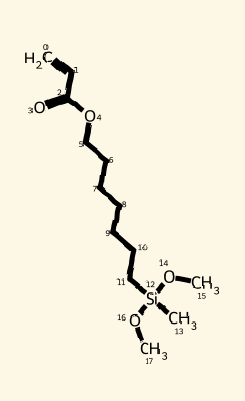 C=CC(=O)OCCCCCCC[Si](C)(OC)OC